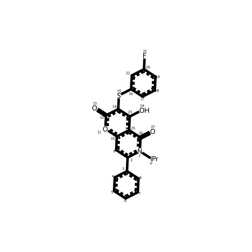 CC(C)n1c(-c2ccccc2)cc2oc(=O)c(Sc3cccc(F)c3)c(O)c2c1=O